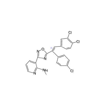 CNc1ncccc1-c1noc(/C(=C/c2ccc(Cl)c(Cl)c2)c2ccc(Cl)cc2)n1